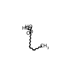 CCCCC/C=C\C/C=C\CCCCCCCC(=O)OC(CO)CO